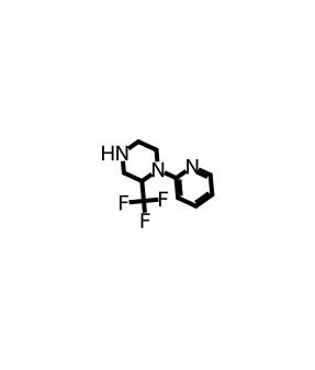 FC(F)(F)C1CNCCN1c1ccccn1